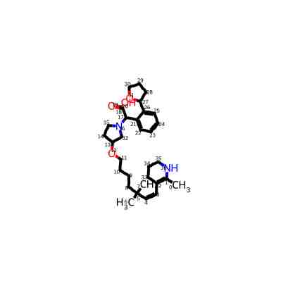 CC1=C(/C=C\C(C)(C)CCCCOC2CCN(C(C(=O)O)c3ccccc3C3CCCO3)C2)CCCN1